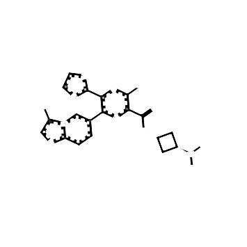 Cc1cnc2ccc(-c3nc(C(=O)N[C@H]4C[C@H](N(C)C)C4)c(N)nc3-c3ncco3)cn12